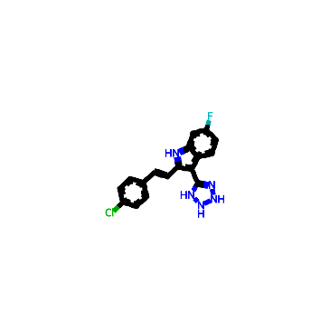 Fc1ccc2c(C3=NNNN3)c(/C=C/c3ccc(Cl)cc3)[nH]c2c1